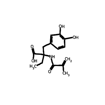 C=C(C)C(=O)NC(CC)(Cc1ccc(O)c(O)c1)C(=O)O